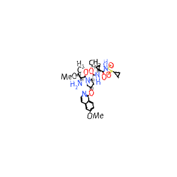 C=C[C@@H]1C[C@]1(NC(=O)[C@@H]1C[C@@H](Oc2nccc3cc(OC)ccc23)CN1C(=O)[C@@H](N)[C@H](C)OC)C(=O)NS(=O)(=O)C1CC1